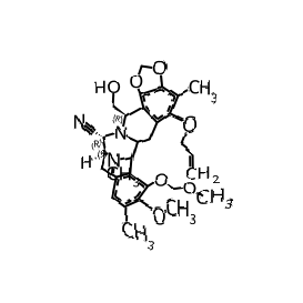 C=CCOc1c(C)c2c(c3c1CC1C4c5c(cc(C)c(OC)c5OCOC)C[C@@H]([C@H](C#N)N1[C@H]3CO)N4C)OCO2